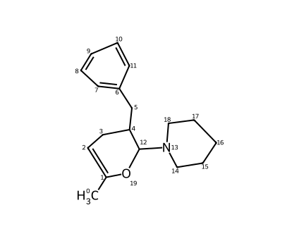 CC1=CCC(Cc2ccccc2)C(N2CCCCC2)O1